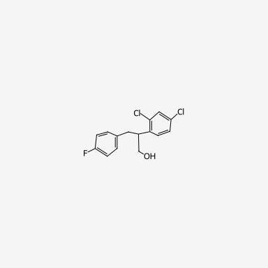 OCC(Cc1ccc(F)cc1)c1ccc(Cl)cc1Cl